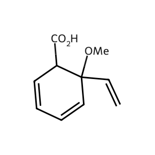 C=CC1(OC)C=CC=CC1C(=O)O